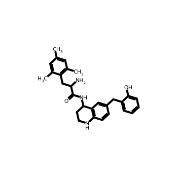 Cc1cc(C)c(CC(N)C(=O)NC2CCNc3ccc(Cc4ccccc4O)cc32)c(C)c1